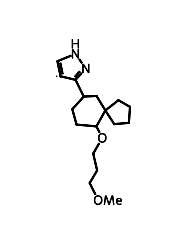 COCCCOC1CCC(c2[c]c[nH]n2)CC12CCCC2